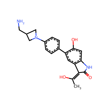 C/C(O)=C1\C(=O)Nc2cc(O)c(-c3ccc(N4CC(CN)C4)cc3)cc21